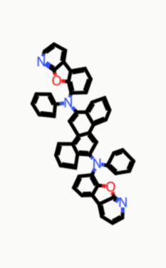 c1ccc(N(c2cc3c4ccccc4c(N(c4ccccc4)c4cccc5c4oc4ncccc45)cc3c3ccccc23)c2cccc3c2oc2ncccc23)cc1